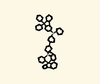 c1ccc(N(c2ccc(-c3ccc4c(c3)c3cccc5c3n4-c3ccccc3C53c4ccccc4-c4ccccc43)cc2)c2ccc3c(c2)-c2ccccc2C3(c2ccccc2)c2ccccc2)cc1